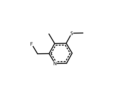 CSc1ccnc(CF)c1C